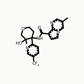 Cc1cnc2c(C(=O)NC3(c4ccc(C(F)(F)F)cn4)CCOCC3(C)O)ccn2c1